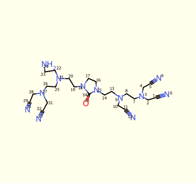 N#CCN(CC#N)CCN(CC#N)CCN1CCN(CCN(CCN)CCN(CC#N)CC#N)C1=O